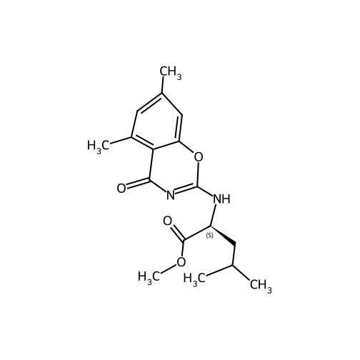 COC(=O)[C@H](CC(C)C)Nc1nc(=O)c2c(C)cc(C)cc2o1